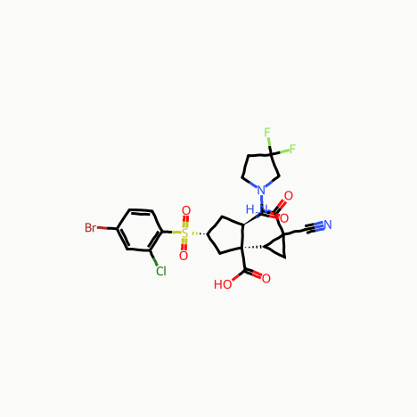 N#CC1(C(N)=O)CC1[C@]1(C(=O)O)C[C@H](S(=O)(=O)c2ccc(Br)cc2Cl)C[C@H]1C(=O)N1CCC(F)(F)C1